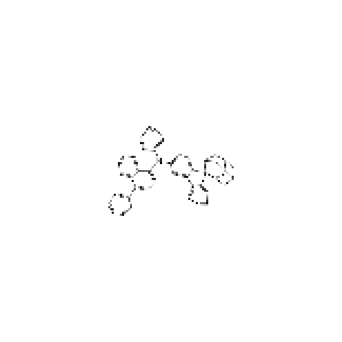 c1ccc(-c2ccc(N(c3ccccc3)c3ccc4c(c3)-c3ccccc3C43C4CC5CC(C4)CC3C5)c3ccccc23)cc1